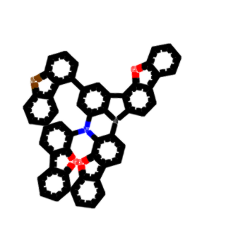 c1ccc2c(c1)oc1c(N3c4cc(-c5cccc6sc7ccccc7c56)cc5c4B(c4ccc6c(oc7ccccc76)c4-5)c4ccc5c(oc6ccccc65)c43)cccc12